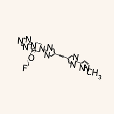 Cn1ccc(-c2ncc(C#Cc3cnc(N4CCN(c5ncncn5)[C@@H](COCCF)C4)nc3)cn2)n1